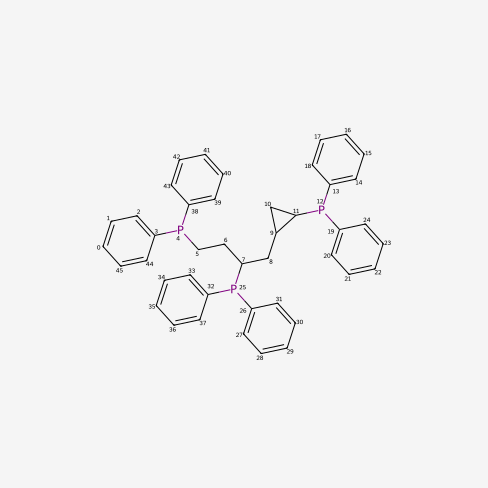 c1ccc(P(CCC(CC2CC2P(c2ccccc2)c2ccccc2)P(c2ccccc2)c2ccccc2)c2ccccc2)cc1